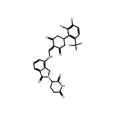 O=C1CCC(N2Cc3c(NC=C4C(=O)CC(c5c(C(F)(F)F)ccc(Cl)c5F)CC4=O)cccc3C2=O)C(=O)N1